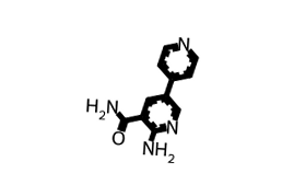 NC(=O)c1cc(-c2ccncc2)cnc1N